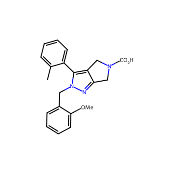 COc1ccccc1Cn1nc2c(c1-c1ccccc1C)CN(C(=O)O)C2